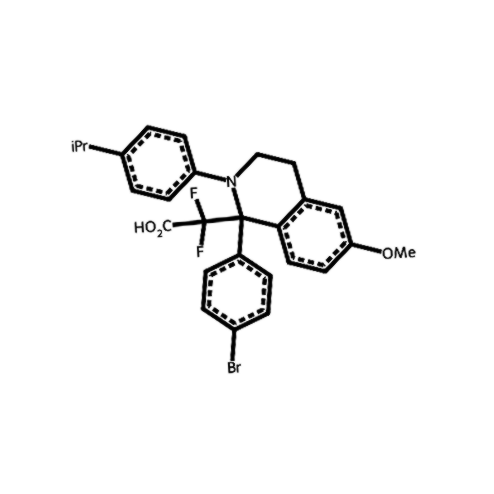 COc1ccc2c(c1)CCN(c1ccc(C(C)C)cc1)C2(c1ccc(Br)cc1)C(F)(F)C(=O)O